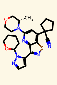 C[C@H]1COCCN1c1cc(C2(C#N)CCCC2)c2snc(-c3ccnn3C3CCCCO3)c2n1